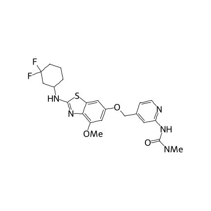 CNC(=O)Nc1cc(COc2cc(OC)c3nc(NC4CCCC(F)(F)C4)sc3c2)ccn1